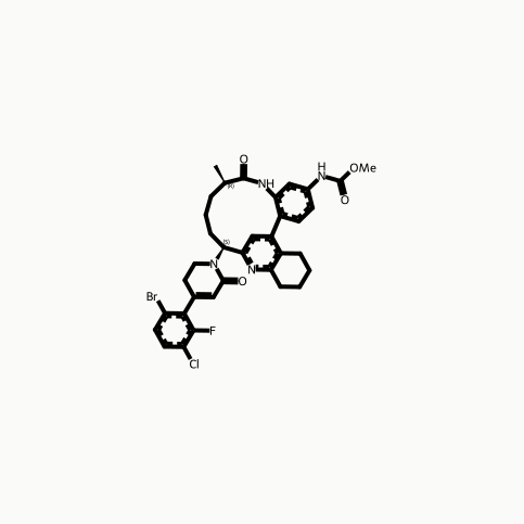 COC(=O)Nc1ccc2c(c1)NC(=O)[C@H](C)CCC[C@H](N1CCC(c3c(Br)ccc(Cl)c3F)=CC1=O)c1cc-2c2c(n1)CCCC2